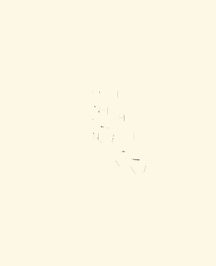 Cc1c(-c2ccc3ccccc3c2)cnc(C(=O)NCC(=O)O)c1O